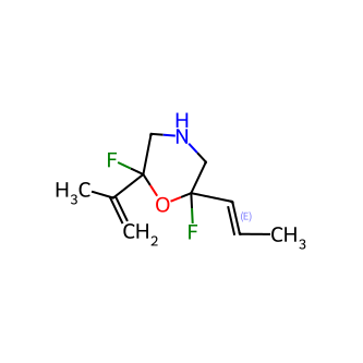 C=C(C)C1(F)CNCC(F)(/C=C/C)O1